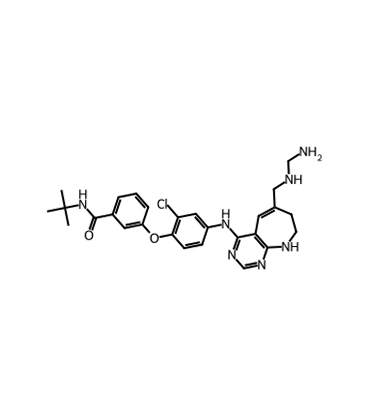 CC(C)(C)NC(=O)c1cccc(Oc2ccc(Nc3ncnc4c3C=C(CNCN)CCN4)cc2Cl)c1